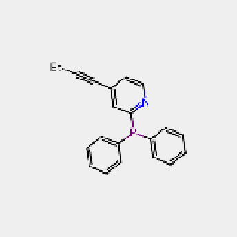 CCC#Cc1ccnc(P(c2ccccc2)c2ccccc2)c1